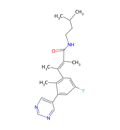 C/C(C(=O)NCCC(C)C)=C(/C)c1cc(F)cc(-c2cncnc2)c1C